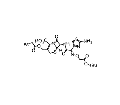 CC(=O)CC(=O)OCC1=C(C(=O)O)N2C(=O)[C@@H](NC(=O)/C(=N/OCC(=O)OC(C)(C)C)c3csc(N)n3)[C@H]2SC1